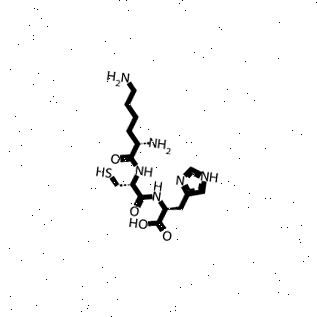 NCCCC[C@H](N)C(=O)N[C@@H](CS)C(=O)N[C@@H](Cc1c[nH]cn1)C(=O)O